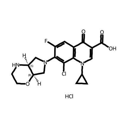 Cl.O=C(O)c1cn(C2CC2)c2c(Cl)c(N3C[C@@H]4NCCO[C@@H]4C3)c(F)cc2c1=O